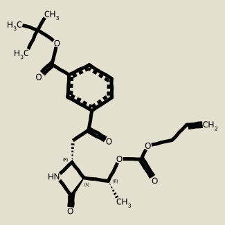 C=CCOC(=O)O[C@H](C)[C@H]1C(=O)N[C@@H]1CC(=O)c1cccc(C(=O)OC(C)(C)C)c1